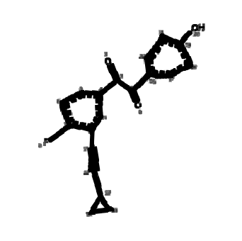 O=C(C(=O)c1ccc(F)c(C#CC2CC2)c1)c1ccc(O)cc1